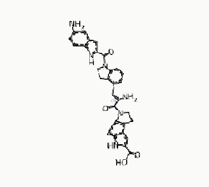 N/C(=C\c1cccc2c1CCN2C(=O)c1cc2cc(N)ccc2[nH]1)C(=O)N1CCc2c1ccc1[nH]c(C(=O)O)cc21